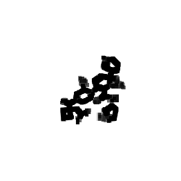 CCOC1(c2cccnc2)C=CC(N2CCN(C(=O)C3(CC(F)F)CCC3)C[C@H]2CC)=C(C(=O)N[C@@H]2CCNC2)N1